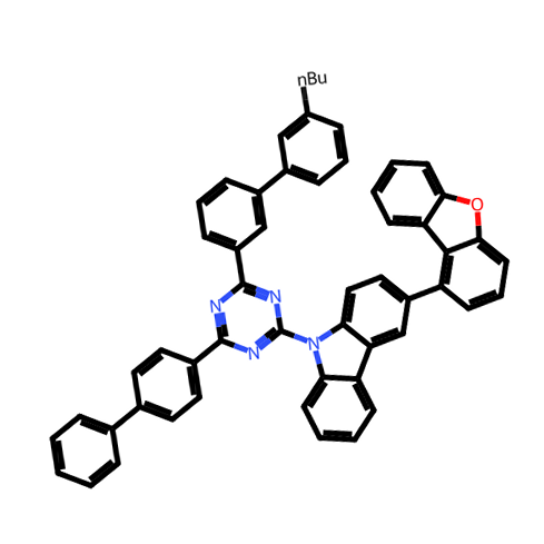 CCCCc1cccc(-c2cccc(-c3nc(-c4ccc(-c5ccccc5)cc4)nc(-n4c5ccccc5c5cc(-c6cccc7oc8ccccc8c67)ccc54)n3)c2)c1